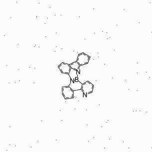 c1cnc2c(c1)B1N(c3ccccc3-2)c2cccc3c4ccccc4n1c23